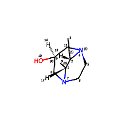 C[C@@H]1[C@H](C)[N@]2CCN1C[C@@H](O)C2